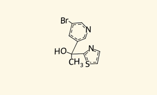 CC(O)(c1cncc(Br)c1)c1nccs1